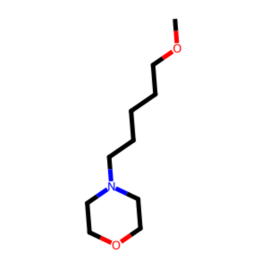 COCCCCCN1CCOCC1